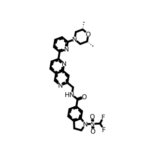 C[C@@H]1CN(c2cccc(-c3ccc4cnc(CNC(=O)c5ccc6c(c5)N(S(=O)(=O)C(F)F)CC6)cc4n3)n2)C[C@H](C)O1